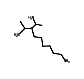 CC(N)N(CCCCCCN)C(C)N